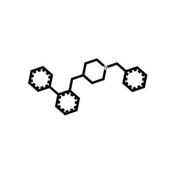 [c]1cccc(-c2ccccc2CC2CCN(Cc3ccccc3)CC2)c1